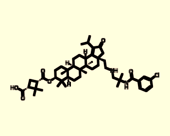 CC(C)C1=C2[C@H]3CC[C@@H]4[C@@]5(C)CC[C@H](OC(=O)[C@H]6C[C@@H](C(=O)O)C6(C)C)C(C)(C)[C@@H]5CC[C@@]4(C)[C@]3(C)CC[C@@]2(CCNCC(C)(C)NC(=O)c2cccc(Cl)c2)CC1=O